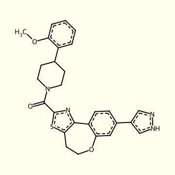 COc1ccccc1C1CCN(C(=O)c2nc3c(s2)CCOc2cc(-c4cn[nH]c4)ccc2-3)CC1